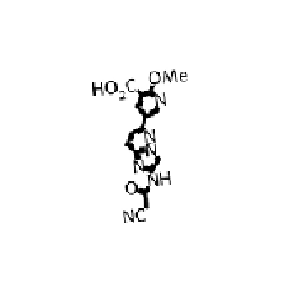 COc1ncc(-c2ccc3nc(NC(=O)CC#N)cn3n2)cc1C(=O)O